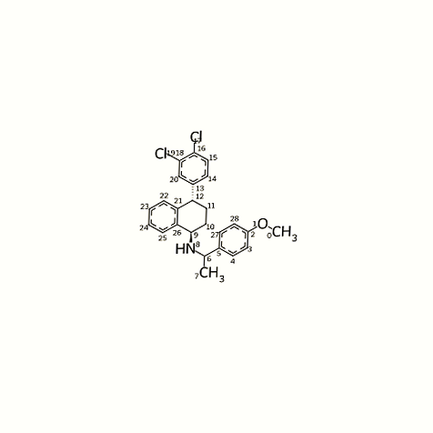 COc1ccc(C(C)N[C@@H]2CC[C@@H](c3ccc(Cl)c(Cl)c3)c3ccccc32)cc1